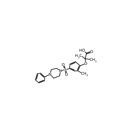 Cc1cc(S(=O)(=O)N2CCN(c3ccccc3)CC2)ccc1OC(C)(C)C(=O)O